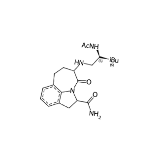 CC[C@H](C)[C@@H](CNC1CCc2cccc3c2N(C1=O)C(C(N)=O)C3)NC(C)=O